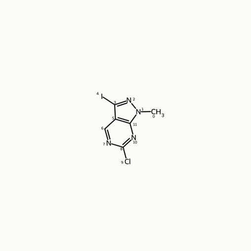 Cn1nc(I)c2cnc(Cl)nc21